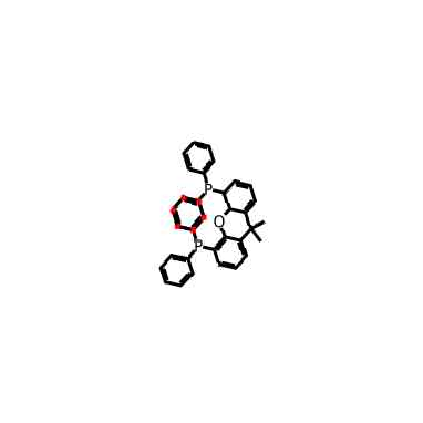 CC1(C)C2=CC=CC(P(c3ccccc3)c3ccccc3)C2Oc2c(P(c3ccccc3)c3ccccc3)cccc21